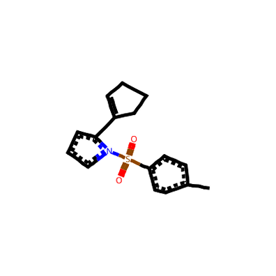 Cc1ccc(S(=O)(=O)n2cccc2C2=CCCC2)cc1